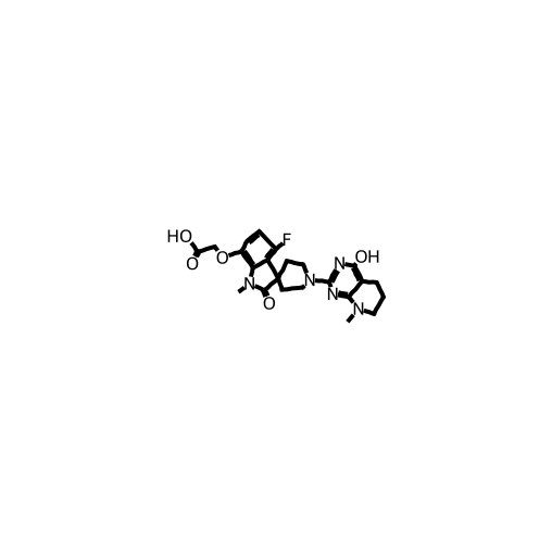 CN1CCCc2c(O)nc(N3CCC4(CC3)C(=O)N(C)c3c(OCC(=O)O)ccc(F)c34)nc21